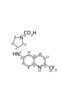 O=C(O)N1CC[C@@H](Nc2ccc3nc(C(F)(F)F)ccc3c2)C1